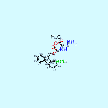 COC(=O)[C@H](CN)NC(=O)OCC1c2ccccc2-c2ccccc21.Cl